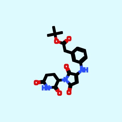 CC(C)(C)OC(=O)Cc1cccc(NC2=CC(=O)N(C3CCC(=O)NC3=O)C2=O)c1